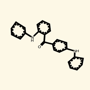 O=C(c1ccc(Nc2ccccc2)cc1)c1ccccc1Nc1ccccc1